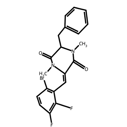 CN1C(=O)C(Cc2ccccc2)N(C)C(=O)C1=Cc1c(Br)ccc(F)c1F